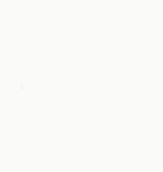 [CH2]CCCCCCC/C=C/CC